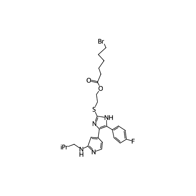 CC(C)CNc1cc(-c2nc(SCCOC(=O)CCCCCBr)[nH]c2-c2ccc(F)cc2)ccn1